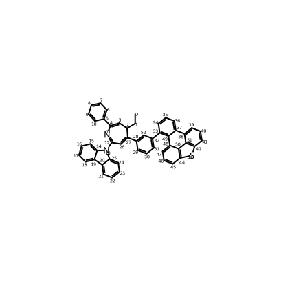 CCC1C=C(c2ccccc2)N=C(n2c3ccccc3c3ccccc32)C=C1c1cccc(-c2cccc3c4cccc5sc6cccc(c23)c6c54)c1